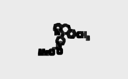 COCC(=O)N1CCC(=C2c3ccc(C)cc3CCc3cccnc32)CC1